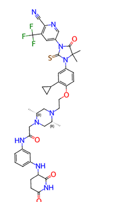 C[C@@H]1CN(CC(=O)Nc2cccc(NC3CCC(=O)NC3=O)c2)[C@H](C)CN1CCOc1ccc(N2C(=S)N(c3cnc(C#N)c(C(F)(F)F)c3)C(=O)C2(C)C)cc1C1CC1